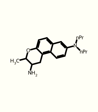 CCCN(CCC)c1ccc2c3c(ccc2c1)OC(C)C(N)C3